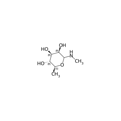 CNC1O[C@@H](C)[C@H](O)[C@@H](O)[C@H]1O